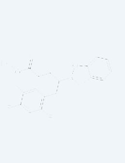 COC(=O)CCC(Cc1cc(F)c(F)cc1F)B1Oc2ccccc2O1